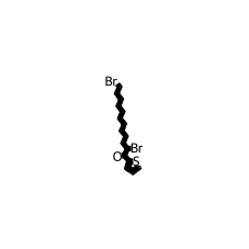 O=C(c1cccs1)C(Br)CCCCCCCCCCBr